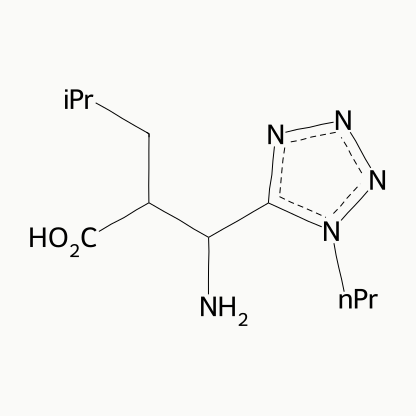 CCCn1nnnc1C(N)C(CC(C)C)C(=O)O